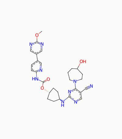 COc1ncc(-c2ccc(NC(=O)O[C@H]3CC[C@H](Nc4ncc(C#N)c(N5CCCC(O)CC5)n4)CC3)nc2)cn1